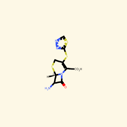 NC1C(=O)N2C(C(=O)O)=C(Sc3nncs3)CS[C@@H]12